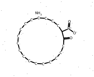 N.O=C1CCCCCCCCCCCCCCCCCCC1[N+](=O)[O-]